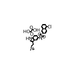 CN(C)CCc1c[nH]c2ccc(N(C)S(=O)(=O)c3ccc4c(Cl)cccc4c3)cc12.O=C(O)C(=O)O